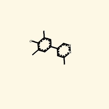 Cc1cc(-c2cc(C)c(Cl)c(C)c2)cnn1